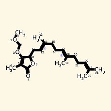 COCOC1=C(C)C(=O)OC1C/C=C(\C)CC/C=C(\C)CCC=C(C)C